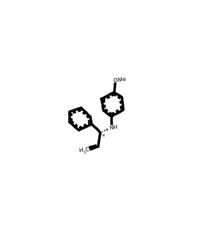 C=C[C@@H](Nc1ccc(OC)cc1)c1ccccc1